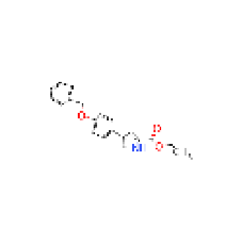 CCOC(=O)c1cc(-c2ccc(OCc3ccccc3)cc2)c[nH]1